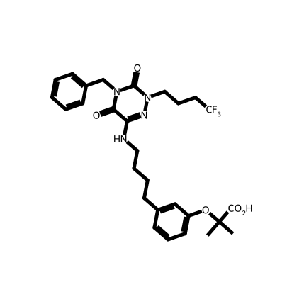 CC(C)(Oc1cccc(CCCCNc2nn(CCCC(F)(F)F)c(=O)n(Cc3ccccc3)c2=O)c1)C(=O)O